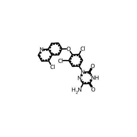 Nc1nn(-c2cc(Cl)c(Oc3ccc4nccc(Cl)c4c3)c(Cl)c2)c(=O)[nH]c1=O